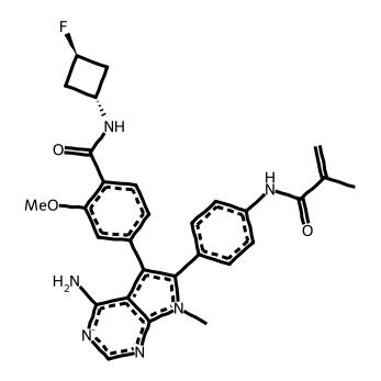 C=C(C)C(=O)Nc1ccc(-c2c(-c3ccc(C(=O)N[C@H]4C[C@H](F)C4)c(OC)c3)c3c(N)ncnc3n2C)cc1